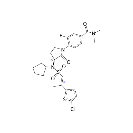 C/C(=C\S(=O)(=O)N(C1CCCC1)[C@H]1CCN(c2ccc(C(=O)N(C)C)cc2F)C1=O)c1ccc(Cl)s1